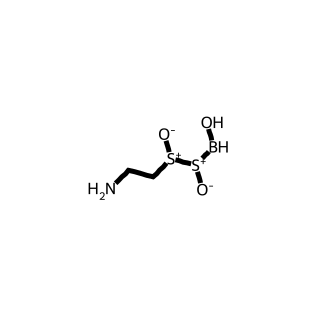 NCC[S+]([O-])[S+]([O-])BO